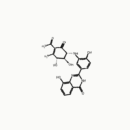 NC(=O)C1=C(N)[C@@H](O)[C@H](O)[C@@H](Nc2cc(-c3nc4c(O)cccc4c(=O)[nH]3)ccc2O)C1=O